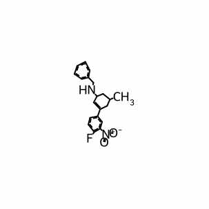 CC1CC(c2ccc(F)c([N+](=O)[O-])c2)=CC(NCc2ccccc2)C1